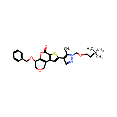 Cc1c(-c2cc3c4c(oc(=O)c3s2)C(OCc2ccccc2)COC4)cnn1COCC[Si](C)(C)C